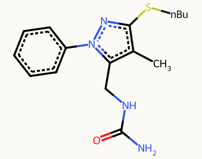 CCCCSc1nn(-c2ccccc2)c(CNC(N)=O)c1C